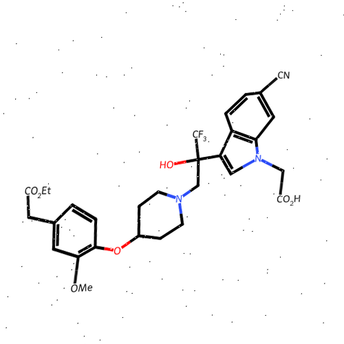 CCOC(=O)Cc1ccc(OC2CCN(CC(O)(c3cn(CC(=O)O)c4cc(C#N)ccc34)C(F)(F)F)CC2)c(OC)c1